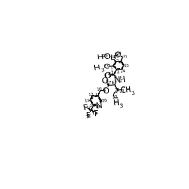 Cc1c(C(=O)NC(C(=O)OCc2ccc(C(F)(F)F)nc2)C(C)C)ccc2c1B(O)OC2